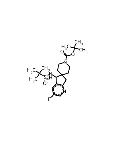 CC(C)(C)OC(=O)N1CCC2(CC1)Cc1ncc(F)cc1C2N[S@+]([O-])C(C)(C)C